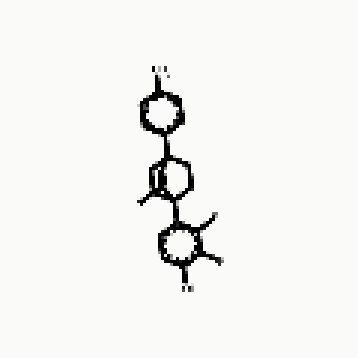 Cc1ccc(C23C=C(F)C(c4ccc(O)c(F)c4F)(CC2)CC3)cc1